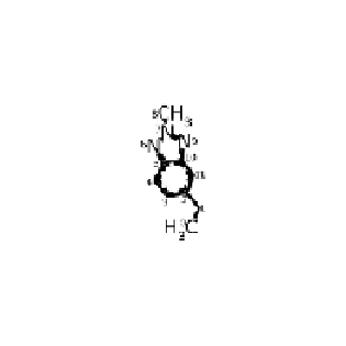 CCc1ccc2nn(C)nc2c1